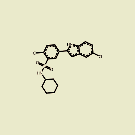 O=S(=O)(NC1CCCCC1)c1cc(-c2[c]c3cc(Cl)ccc3[nH]2)ccc1Cl